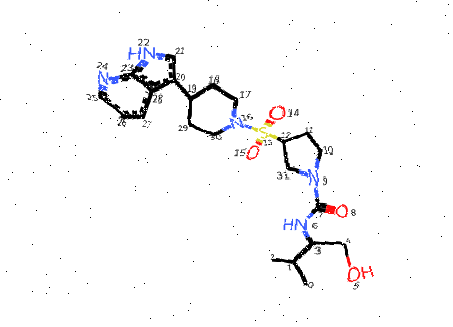 CC(C)C(CO)NC(=O)N1CCC(S(=O)(=O)N2CCC(c3c[nH]c4ncccc34)CC2)C1